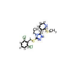 CCn1c(SCc2c(Cl)cccc2Cl)nnc1-c1cccnc1SC